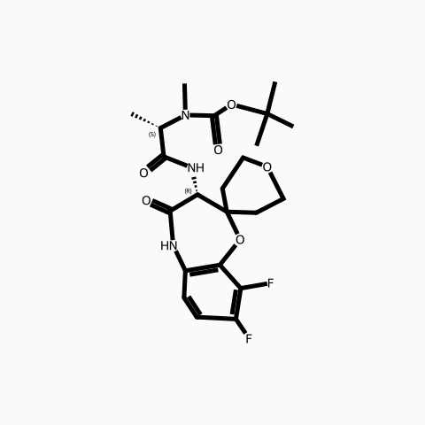 C[C@@H](C(=O)N[C@H]1C(=O)Nc2ccc(F)c(F)c2OC12CCOCC2)N(C)C(=O)OC(C)(C)C